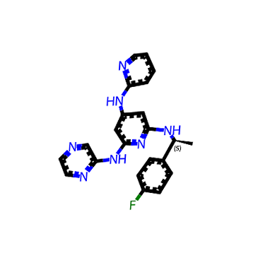 C[C@H](Nc1cc(Nc2ccccn2)cc(Nc2cnccn2)n1)c1ccc(F)cc1